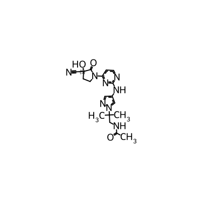 CC(=O)NCC(C)(C)n1cc(Nc2nccc(N3CC[C@](O)(C#N)C3=O)n2)cn1